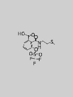 CSCCNC(=O)c1c(OS(=O)(=O)C(F)(F)F)cccc1C(=O)O